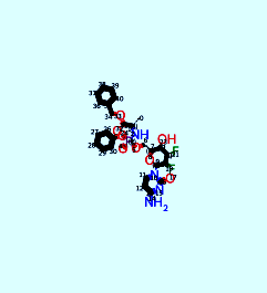 C[C@H](N[P@@](=O)(OC[C@H]1O[C@@H](n2ccc(N)nc2=O)C(F)[C@@H](F)[C@H]1O)Oc1ccccc1)C(=O)OCc1ccccc1